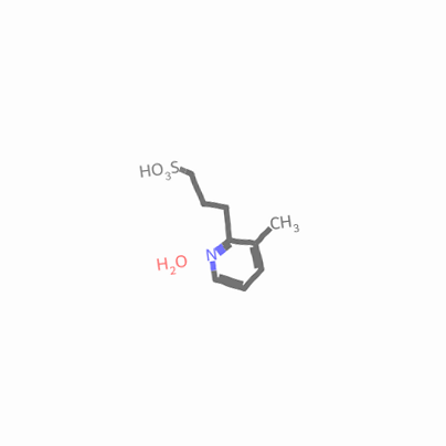 Cc1cccnc1CCCS(=O)(=O)O.O